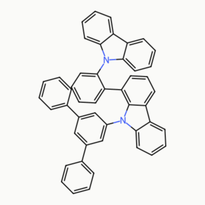 c1ccc(-c2cc(-c3ccccc3)cc(-n3c4ccccc4c4cccc(-c5ccccc5-n5c6ccccc6c6ccccc65)c43)c2)cc1